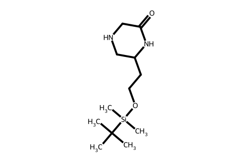 CC(C)(C)[Si](C)(C)OCCC1CNCC(=O)N1